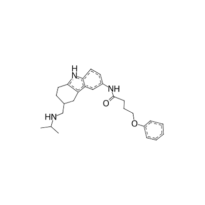 CC(C)NCC1CCc2[nH]c3ccc(NC(=O)CCCOc4ccccc4)cc3c2C1